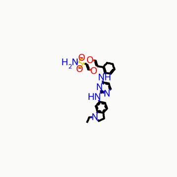 CCN1CCc2ccc(Nc3nccc(NC4=C(C5=COC(S(N)(=O)=O)=CO5)CCC=C4)n3)cc21